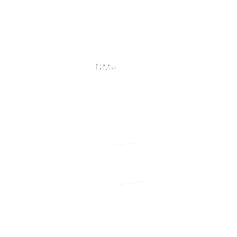 CNCCC=C1CCCCC1